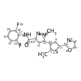 Cc1sc(-c2ncco2)cc1-c1cc(C(=O)Nc2c(F)cccc2F)nn1C